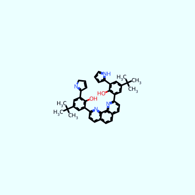 CC(C)(C)c1cc(C2=NCC=C2)c(O)c(-c2ccc3ccc4ccc(-c5cc(C(C)(C)C)cc(-c6ccc[nH]6)c5O)nc4c3n2)c1